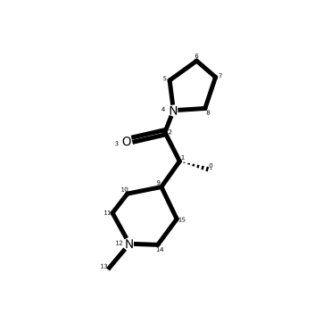 [CH2][C@@H](C(=O)N1CCCC1)C1CCN(C)CC1